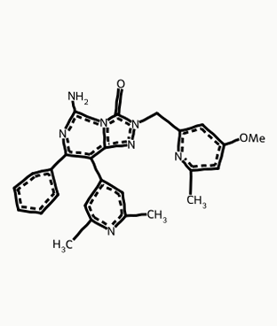 COc1cc(C)nc(Cn2nc3c(-c4cc(C)nc(C)c4)c(-c4ccccc4)nc(N)n3c2=O)c1